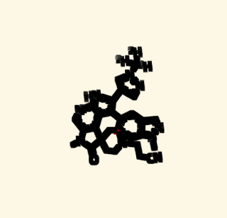 [2H]C([2H])([2H])n1cc(-c2[nH]c3ncc4c(c3c2-c2ccc3c(cnn3C)c2)C2(CCN(CCC#N)CC2)C(=O)N4C)cn1